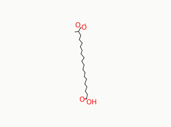 COC(=O)C(C)CCCCCCCCCCCCCCCCCC(=O)O